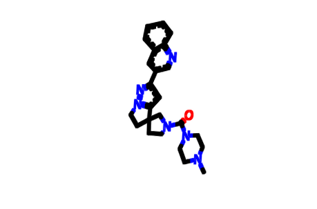 CN1CCN(C(=O)N2CCC3(CCn4nc(-c5cnc6ccccc6c5)cc43)C2)CC1